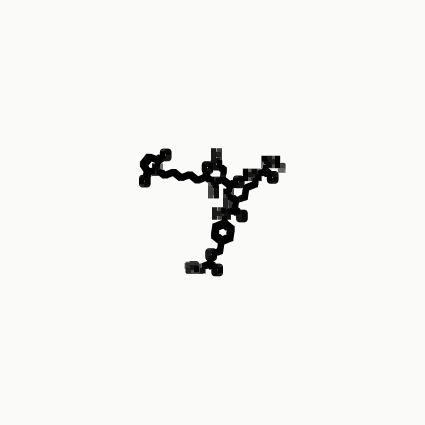 CC(C)(C)C(=O)OCc1ccc(NC(=O)[C@H](CCCNC(N)=O)NC(=O)[C@H](CO)NC(=O)CCCCCN2C(=O)C=CC2=O)cc1